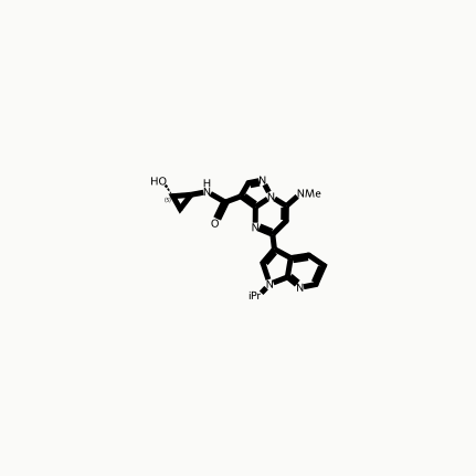 CNc1cc(-c2cn(C(C)C)c3ncccc23)nc2c(C(=O)NC3C[C@@H]3O)cnn12